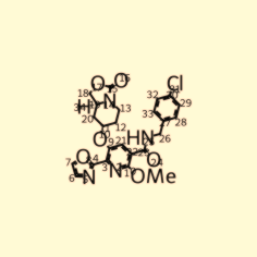 COc1nc(-c2ncco2)c(O[C@H]2CCN3C(=O)OC[C@@H]3C2)cc1C(=O)NCc1ccc(Cl)cc1